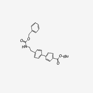 CC(C)(C)OC(=O)c1ccc(-c2ccc(CCNC(=O)OCc3ccccc3)cc2)cc1